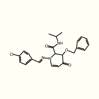 CC(C)NC(=O)C1C(OCc2ccccc2)C(=O)C=CN1/N=C/c1ccc(Cl)cc1